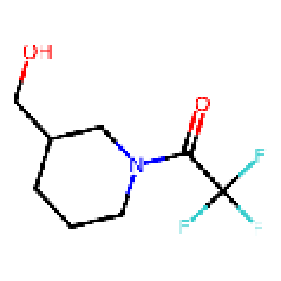 O=C(N1CCCC(CO)C1)C(F)(F)F